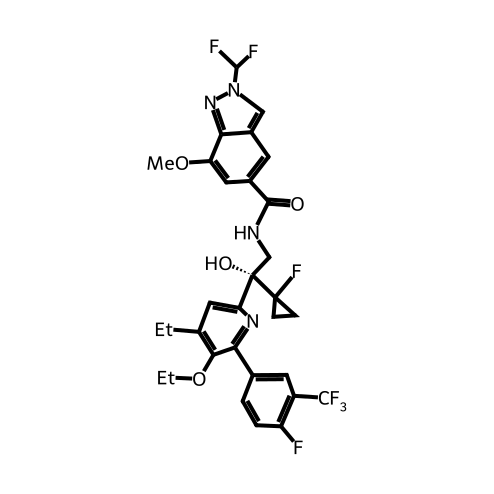 CCOc1c(CC)cc([C@@](O)(CNC(=O)c2cc(OC)c3nn(C(F)F)cc3c2)C2(F)CC2)nc1-c1ccc(F)c(C(F)(F)F)c1